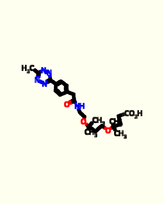 Cc1nnc(-c2ccc(CC(=O)NCCOC(C)(C)CCOC(C)(C)CCC(=O)O)cc2)nn1